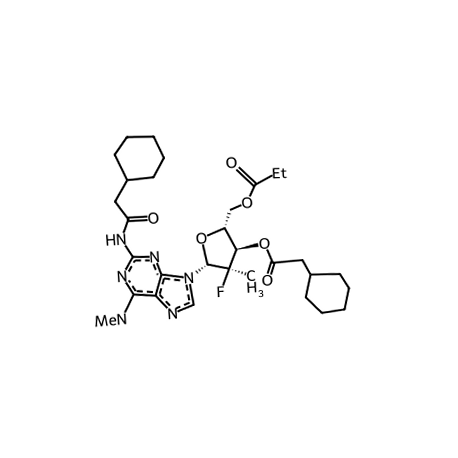 CCC(=O)OC[C@H]1O[C@@H](n2cnc3c(NC)nc(NC(=O)CC4CCCCC4)nc32)[C@](C)(F)[C@@H]1OC(=O)CC1CCCCC1